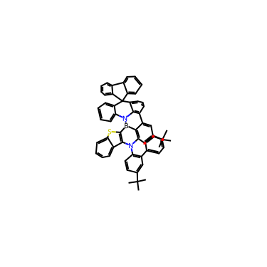 CC(C)(C)c1ccc(N2c3cc(C(C)(C)C)cc4c3B(c3sc5ccccc5c32)N2c3ccccc3C3(c5ccccc5-c5ccccc53)c3cccc-4c32)c(-c2ccccc2)c1